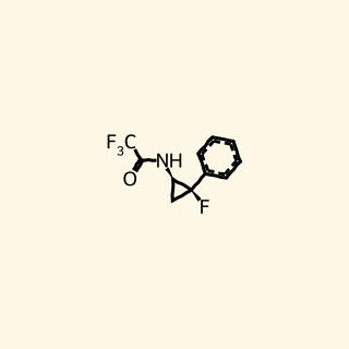 O=C(N[C@@H]1C[C@@]1(F)c1ccccc1)C(F)(F)F